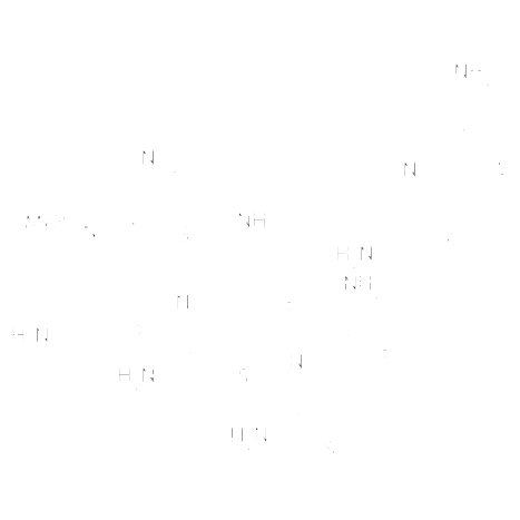 NC(=S)[N-]C(N)=S.NC(=S)[N-]C(N)=S.NC(=S)[N-]C(N)=S.NC(=S)[N-]C(N)=S.[Mo+4]